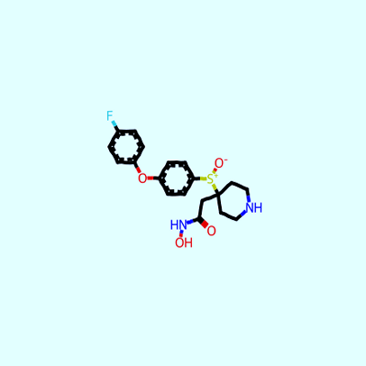 O=C(CC1([S+]([O-])c2ccc(Oc3ccc(F)cc3)cc2)CCNCC1)NO